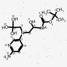 CC(C)(C)OC(=O)NC(O)CN(CC(O)(O)O)c1ccc(N)nc1